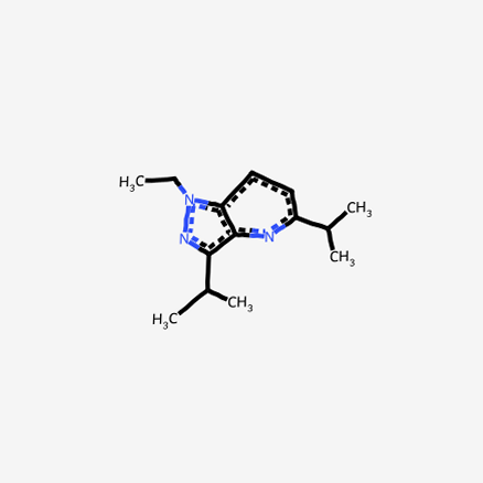 CCn1nc(C(C)C)c2nc(C(C)C)ccc21